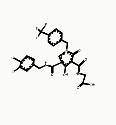 O=C(O)CNC(=O)c1c(O)c(C(=O)NCc2ccc(Cl)c(Cl)c2)cn(Cc2ccc(C(F)(F)F)cc2)c1=O